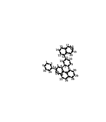 c1ccc(-c2cc(-c3cccc(-c4cccc5cnccc45)c3)c3c(ccc4ccccc43)n2)cc1